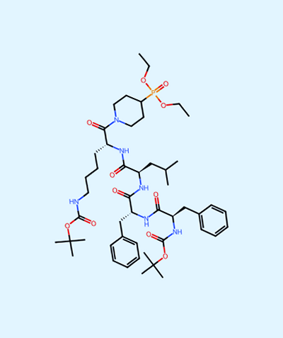 CCOP(=O)(OCC)C1CCN(C(=O)[C@@H](CCCCNC(=O)OC(C)(C)C)NC(=O)[C@@H](CC(C)C)NC(=O)[C@@H](Cc2ccccc2)NC(=O)[C@@H](Cc2ccccc2)NC(=O)OC(C)(C)C)CC1